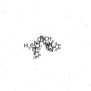 Cc1nc(-c2onc(C)c2CNc2ncnc(C3CCCC3)n2)ccc1OC1CCCCC1